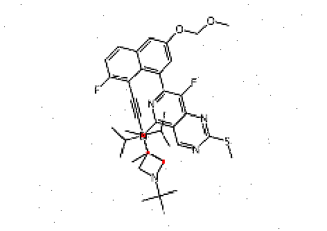 COCOc1cc(-c2nc(N(C)C3CN(C(C)(C)C)C3)c3cnc(SC)nc3c2F)c2c(C#C[Si](C(C)C)(C(C)C)C(C)C)c(F)ccc2c1